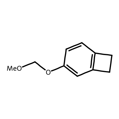 COCOc1ccc2c(c1)CC2